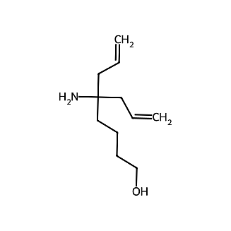 C=CCC(N)(CC=C)CCCCO